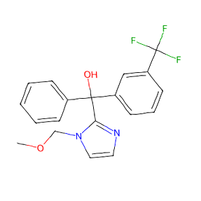 COCn1ccnc1C(O)(c1ccccc1)c1cccc(C(F)(F)F)c1